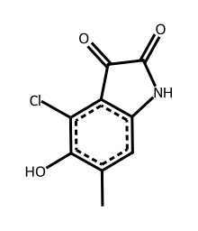 Cc1cc2c(c(Cl)c1O)C(=O)C(=O)N2